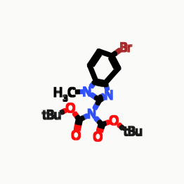 Cn1c(N(C(=O)OC(C)(C)C)C(=O)OC(C)(C)C)nc2cc(Br)ccc21